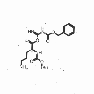 CC(C)(C)OC(=O)N[C@@H](CCCN)C(=O)OC(=N)NC(=O)OCc1ccccc1